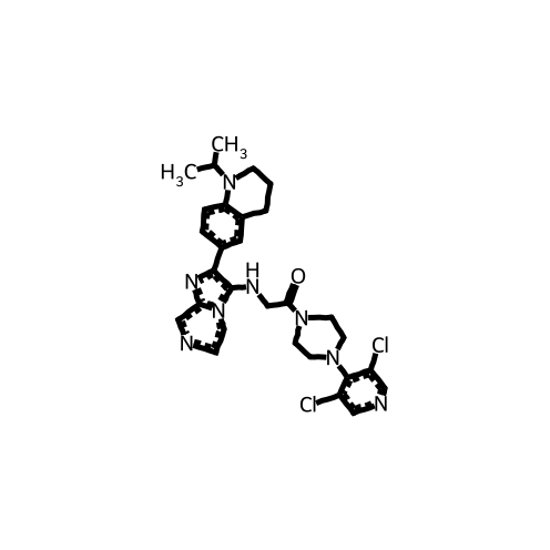 CC(C)N1CCCc2cc(-c3nc4cnccn4c3NCC(=O)N3CCN(c4c(Cl)cncc4Cl)CC3)ccc21